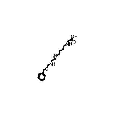 O=C(O)CNCCCCNCCNCOCc1ccccc1